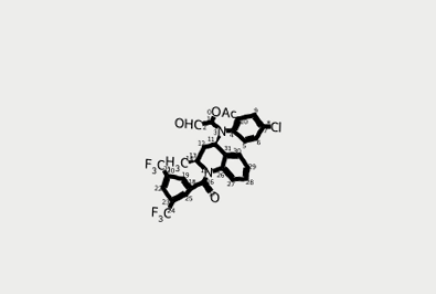 CC(=O)OC(C=O)N(c1ccc(Cl)cc1)[C@@H]1C[C@H](C)N(C(=O)c2cc(C(F)(F)F)cc(C(F)(F)F)c2)c2ccccc21